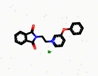 O=C1c2ccccc2C(=O)N1CC[n+]1cccc(Oc2ccccc2)c1.[Br-]